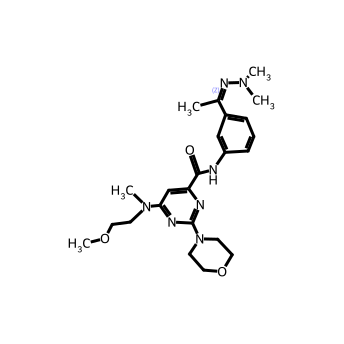 COCCN(C)c1cc(C(=O)Nc2cccc(/C(C)=N\N(C)C)c2)nc(N2CCOCC2)n1